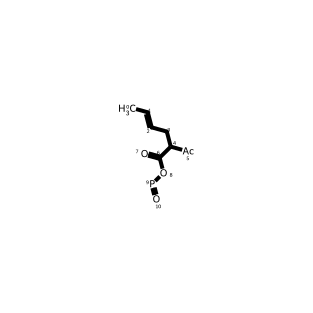 CC=CCC(C(C)=O)C(=O)OP=O